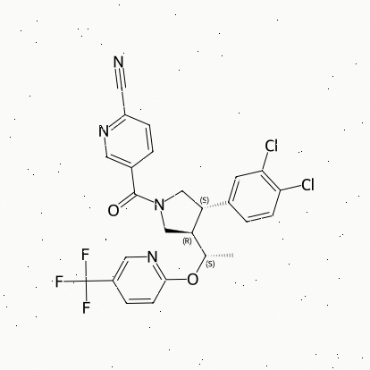 C[C@H](Oc1ccc(C(F)(F)F)cn1)[C@H]1CN(C(=O)c2ccc(C#N)nc2)C[C@@H]1c1ccc(Cl)c(Cl)c1